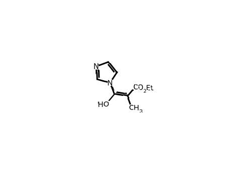 CCOC(=O)/C(C)=C(/O)n1ccnc1